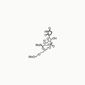 CNC(=O)CCOP(=O)(OCCOCCOCCOC)O[C@@H]1C(O)[C@H](n2ccc(=O)[nH]c2=O)O[C@@H]1CO